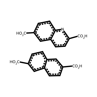 O=C(O)c1ccc2cc(C(=O)O)ccc2c1.O=C(O)c1ccc2nc(C(=O)O)ccc2c1